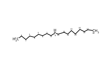 CCCCCCCCCPCCCCCCCCC